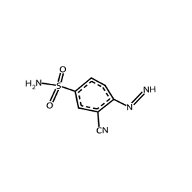 N#Cc1cc(S(N)(=O)=O)ccc1N=N